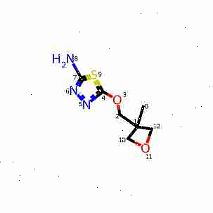 CC1(COc2nnc(N)s2)COC1